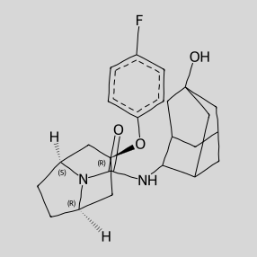 O=C(NC1C2CC3CC1CC(O)(C3)C2)N1[C@@H]2CC[C@H]1C[C@@H](Oc1ccc(F)cc1)C2